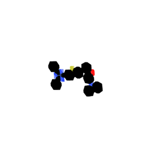 c1ccc(-c2nc(-c3ccccc3)nc(-c3ccc4c(c3)sc3cc(-c5cccc6oc7cc(-n8c9ccccc9c9ccccc98)ccc7c56)ccc34)n2)cc1